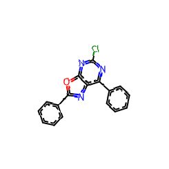 Clc1nc(-c2ccccc2)c2nc(-c3ccccc3)oc2n1